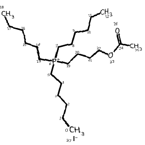 CCCCCC[P+](CCCCCC)(CCCCCC)CCCCOC(C)=O.[I-]